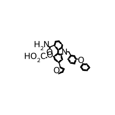 NC(=O)c1cccc2c1c1c(OCC(=O)O)cc(-c3ccco3)cc1n2Cc1cccc(Oc2ccccc2)c1